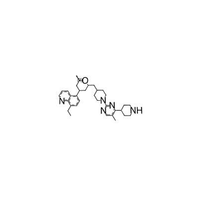 CCc1ccc(C2CC(CC3CCN(c4ncc(C)c(C5CCNCC5)n4)CC3)O[C@H](C)C2)c2cccnc12